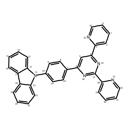 c1ccc(-c2cc(-c3ccc(-n4c5ccccc5c5ccccc54)cc3)nc(-c3ccccn3)n2)nc1